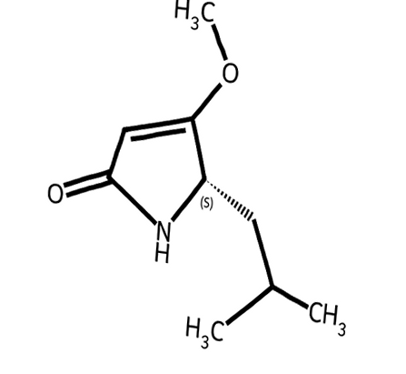 COC1=CC(=O)N[C@H]1CC(C)C